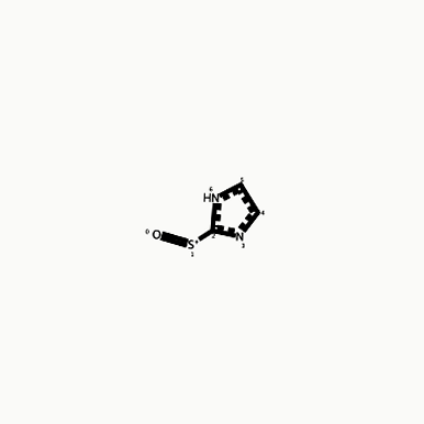 O=[S+]c1ncc[nH]1